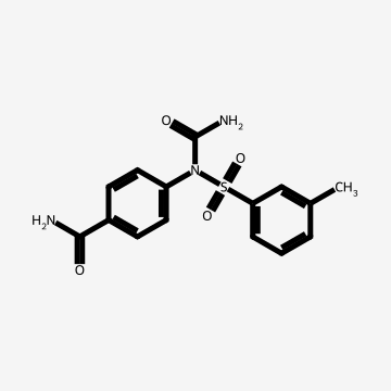 Cc1cccc(S(=O)(=O)N(C(N)=O)c2ccc(C(N)=O)cc2)c1